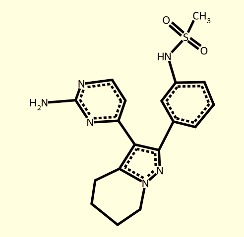 CS(=O)(=O)Nc1cccc(-c2nn3c(c2-c2ccnc(N)n2)CCCC3)c1